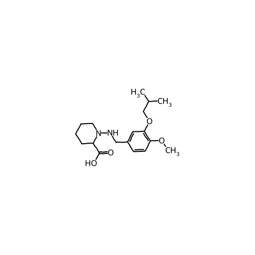 COc1ccc(CNN2CCCCC2C(=O)O)cc1OCC(C)C